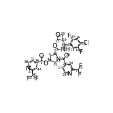 O=C(O[C@@H]1C[C@H](C(=O)N[C@@H](c2cc(F)c(Cl)cc2F)C2COC2)N(C(=O)c2ccnc(C(F)F)c2)C1)c1ccnc(C(F)F)c1